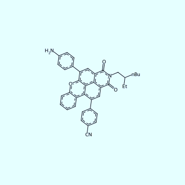 CCCCC(CC)Cn1c(=O)c2cc(-c3ccc(N)cc3)c3oc4ccccc4c4c(-c5ccc(C#N)cc5)cc(c1=O)c2c34